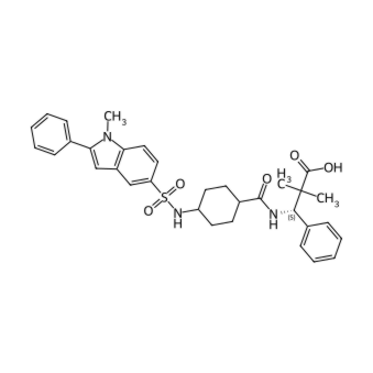 Cn1c(-c2ccccc2)cc2cc(S(=O)(=O)NC3CCC(C(=O)N[C@@H](c4ccccc4)C(C)(C)C(=O)O)CC3)ccc21